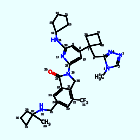 Cn1cnnc1CC1(c2cc(NC3CCCC3)nc(N3Cc4c(cc(CNC5(C)CCC5)cc4C(F)(F)F)C3=O)c2)CCC1